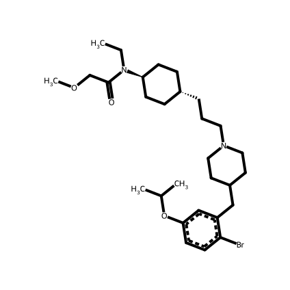 CCN(C(=O)COC)[C@H]1CC[C@H](CCCN2CCC(Cc3cc(OC(C)C)ccc3Br)CC2)CC1